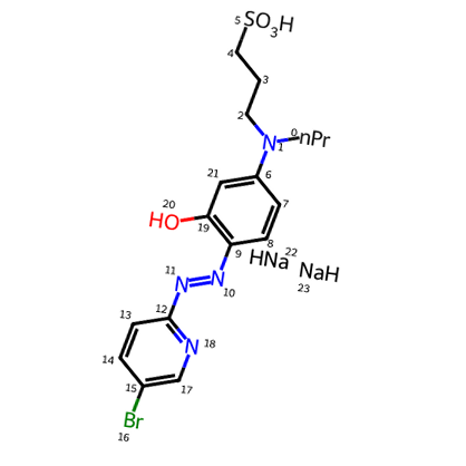 CCCN(CCCS(=O)(=O)O)c1ccc(/N=N/c2ccc(Br)cn2)c(O)c1.[NaH].[NaH]